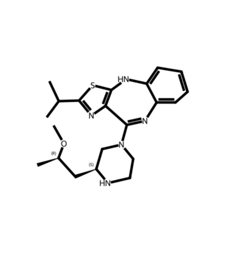 CO[C@H](C)C[C@H]1CN(C2=Nc3ccccc3Nc3sc(C(C)C)nc32)CCN1